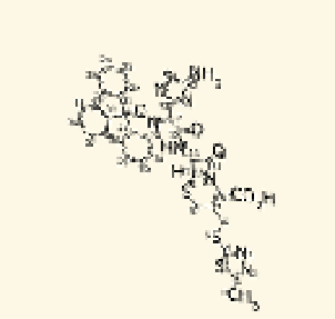 Cc1nnc(SCC2=C(C(=O)O)N3C(=O)C(NC(=O)C(=NOC(c4ccccc4)(c4ccccc4)c4ccccc4)c4nsc(N)n4)[C@@H]3SC2)s1